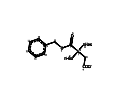 CCCCCC[N+](CCCCCC)(CC(=O)[O-])C(=O)OCc1ccccc1